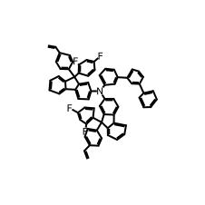 C=Cc1ccc(C2(c3ccc(F)cc3F)c3ccccc3-c3ccc(N(c4cccc(-c5cccc(-c6ccccc6)c5)c4)c4ccc5c(c4)C(c4ccc(C=C)cc4)(c4ccc(F)cc4F)c4ccccc4-5)cc32)cc1